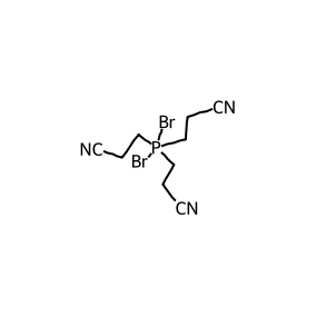 N#CCCP(Br)(Br)(CCC#N)CCC#N